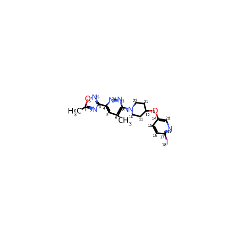 Cc1nc(-c2cc(C)c(N3CCC(Oc4ccc(I)nc4)CC3)nn2)no1